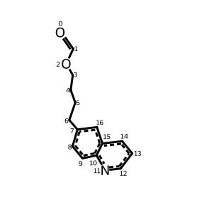 O=COCCCCc1ccc2ncccc2c1